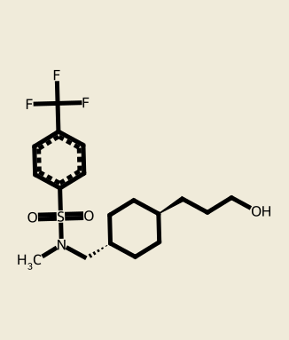 CN(C[C@H]1CC[C@H](CCCO)CC1)S(=O)(=O)c1ccc(C(F)(F)F)cc1